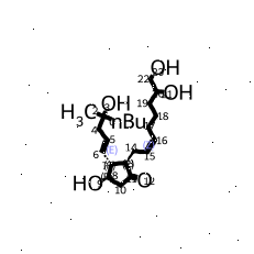 CCCCC(C)(O)C/C=C/[C@H]1[C@H](O)CC(=O)[C@@H]1C/C=C\CCCC(O)CO